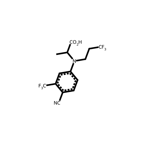 CC(C(=O)O)N(CCC(F)(F)F)c1ccc(C#N)c(C(F)(F)F)c1